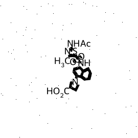 CC(=O)Nc1nc(C)c(S(=O)(=O)Nc2ccc(N3CC[C@@H](C(=O)O)C3)c3ccccc23)s1